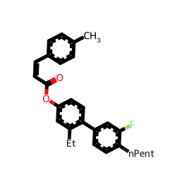 CCCCCc1ccc(-c2ccc(OC(=O)/C=C\c3ccc(C)cc3)cc2CC)cc1F